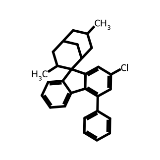 CC1CC2CC(C)C3(c4ccccc4-c4c(-c5ccccc5)cc(Cl)cc43)C(C1)C2